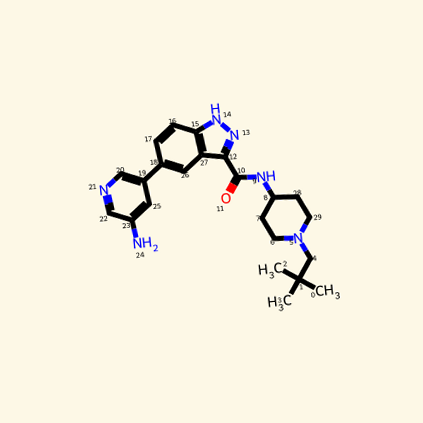 CC(C)(C)CN1CCC(NC(=O)c2n[nH]c3ccc(-c4cncc(N)c4)cc23)CC1